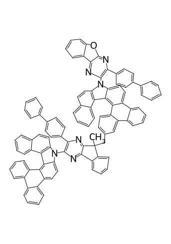 CC1(Cc2ccc3c(c2)c2ccccc2c2ccc4c(c23)c2c3ccccc3ccc2n4-c2nc3c(nc2-c2ccc(-c4ccccc4)cc2)oc2ccccc23)c2ccccc2-c2nc(-n3c4ccc5ccccc5c4c4c5c6ccccc6c6ccccc6c5ccc43)c(-c3ccc(-c4ccccc4)cc3)nc21